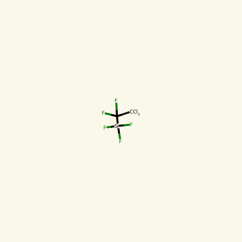 FC(F)(C(Cl)(Cl)Cl)[Si](F)(F)F